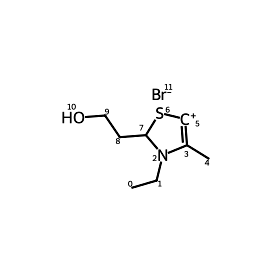 CCN1C(C)=[C+]SC1CCO.[Br-]